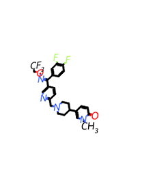 Cn1cc(C2CCN(Cc3ccc(C(=NOCC(F)(F)F)c4ccc(F)c(F)c4)cn3)CC2)ccc1=O